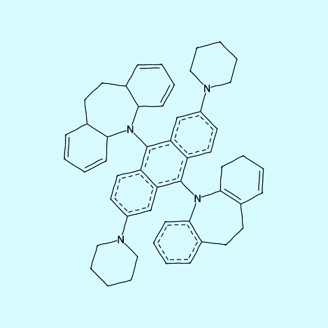 C1=CC2CCC3C=CC=CC3N(c3c4ccc(N5CCCCC5)cc4c(N4C5=C(C=CCC5)CCc5ccccc54)c4ccc(N5CCCCC5)cc34)C2C=C1